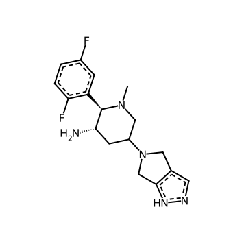 CN1CC(N2Cc3cn[nH]c3C2)C[C@H](N)[C@H]1c1cc(F)ccc1F